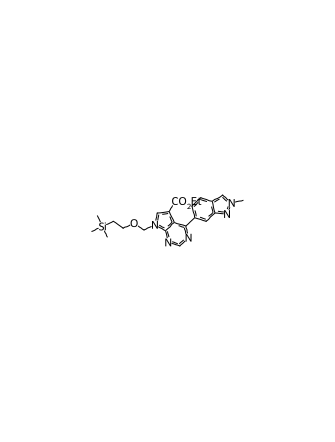 CCOC(=O)c1cn(COCC[Si](C)(C)C)c2ncnc(-c3ccc4cn(C)nc4c3)c12